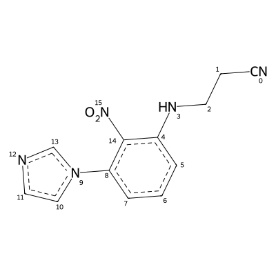 N#CCCNc1cccc(-n2ccnc2)c1[N+](=O)[O-]